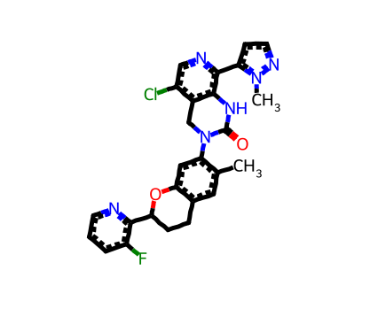 Cc1cc2c(cc1N1Cc3c(Cl)cnc(-c4ccnn4C)c3NC1=O)OC(c1ncccc1F)CC2